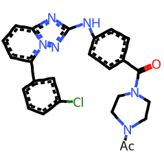 CC(=O)N1CCN(C(=O)c2ccc(Nc3nc4cccc(-c5cccc(Cl)c5)n4n3)cc2)CC1